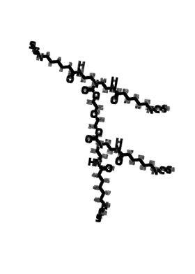 O=C(CCCCCN=C=S)NCCN(CCNC(=O)CCCCCN=C=S)C(=O)OCCOCCOC(=O)N(CCNC(=O)CCCCCN=C=S)CCNC(=O)CCCCCN=C=S